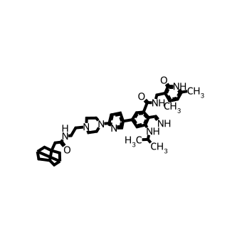 Cc1cc(C)c(CNC(=O)c2cc(-c3ccc(N4CCN(CCNC(=O)CC56CC7CC5CC7C6)CC4)nc3)cc(NC(C)C)c2C=N)c(=O)[nH]1